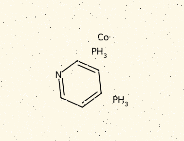 P.P.[Co].c1ccncc1